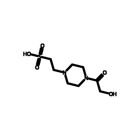 O=C(CO)N1CCN(CCS(=O)(=O)O)CC1